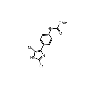 CCc1nc(-c2ccc(NC(=O)OC)cc2)c(Cl)[nH]1